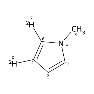 [2H]c1ccn(C)c1[2H]